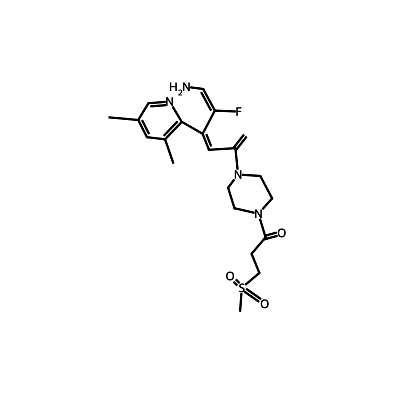 C=C(/C=C(\C(F)=C/N)c1ncc(C)cc1C)N1CCN(C(=O)CCS(C)(=O)=O)CC1